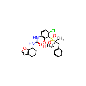 CC(C)(Cc1ccccc1)S(=O)(=O)c1c(Cl)ccc(NC(=O)N[C@@H]2CCCc3ccoc32)c1O